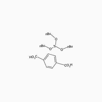 CCCC[O][Ti]([O]CCCC)[O]CCCC.O=C(O)c1ccc(C(=O)O)cc1